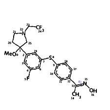 COC1(c2cc(F)cc(Sc3ccc(/C(C)=N/O)cc3)c2)CCN(CC(F)(F)F)C1